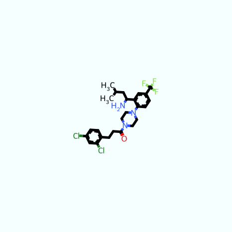 CC(C)CC(N)c1cc(C(F)(F)F)ccc1N1CCN(C(=O)CCc2ccc(Cl)cc2Cl)CC1